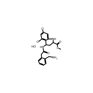 COC(=O)C1CC(NC(=O)Cc2ccccc2CN)c2c(Cl)cc(Cl)cc2N1.Cl